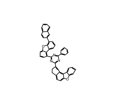 C1=C(c2nc(-c3ccccc3)nc(-c3cccc4oc5c(-c6ccc7ccccc7c6)cccc5c34)n2)CCc2ccc3oc4ccccc4c3c21